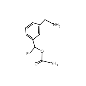 CC(C)C(OC(N)=O)c1cccc(CN)c1